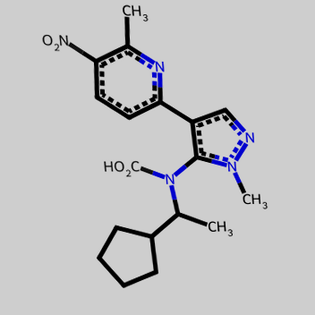 Cc1nc(-c2cnn(C)c2N(C(=O)O)C(C)C2CCCC2)ccc1[N+](=O)[O-]